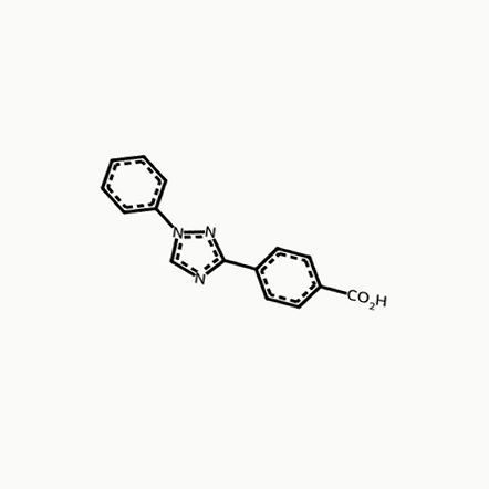 O=C(O)c1ccc(-c2ncn(-c3ccccc3)n2)cc1